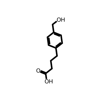 O=C(O)CCCc1ccc(CO)cc1